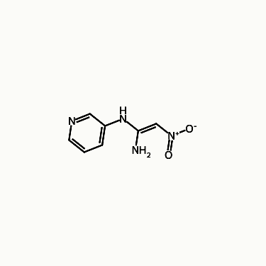 N/C(=C\[N+](=O)[O-])Nc1cccnc1